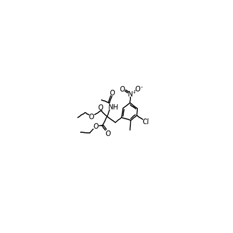 CCOC(=O)C(Cc1cc([N+](=O)[O-])cc(Cl)c1C)(NC(C)=O)C(=O)OCC